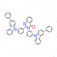 O=c1c2ccccc2nc(-c2cccc(-n3c4ccccc4c4cc(-c5ccccc5)ccc43)c2)n1-c1cccc(-n2c3ccccc3c3cc(-c4ccccc4)ccc32)c1